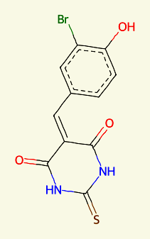 O=C1NC(=S)NC(=O)C1=Cc1ccc(O)c(Br)c1